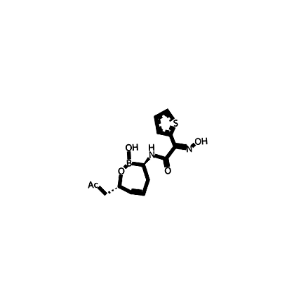 CC(=O)C[C@H]1C=CC[C@H](NC(=O)/C(=N/O)c2cccs2)B(O)O1